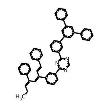 CC\C=C(/C=C(\C=C\c1ccccc1)c1cccc(-c2ncnc(-c3cccc(-c4cc(-c5ccccc5)cc(-c5ccccc5)c4)c3)n2)c1)c1ccccc1